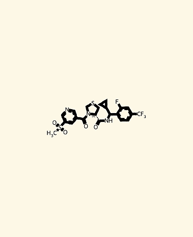 CS(=O)(=O)c1cncc(C(=O)N2CSC[C@@H]2C(=O)NC(c2ccc(C(F)(F)F)cc2F)C2CC2)c1